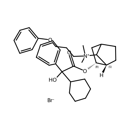 C[N+](C)(CCCOc1ccccc1)C1C2CC[C@@H]1[C@H](OC(=O)C(O)(c1ccccc1)C1CCCCC1)C2.[Br-]